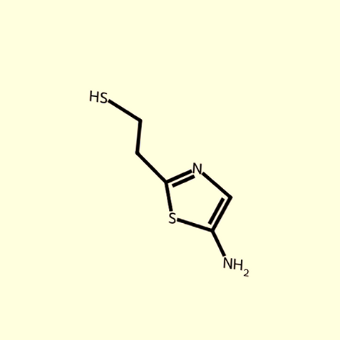 Nc1cnc(CCS)s1